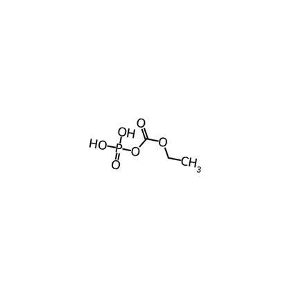 CCOC(=O)OP(=O)(O)O